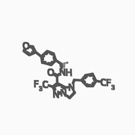 C[C@H](NC(=O)c1c(C(F)(F)F)nn2c1N(Cc1ccc(C(F)(F)F)cc1)CC2)c1ccc(-c2ccoc2)cc1